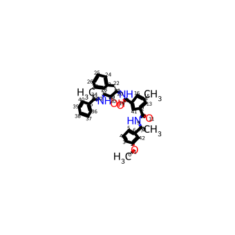 COc1cccc([C@@H](C)NC(=O)c2cc(C)cc(C(=O)N[C@@H](Cc3ccccc3)[C@H](O)CN[C@@H](C)c3ccccc3)c2)c1